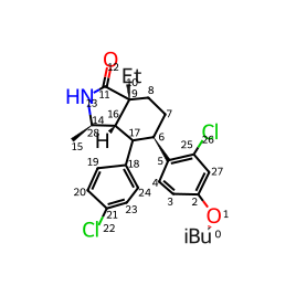 CC[C@@H](C)Oc1ccc([C@@H]2CC[C@@]3(CC)C(=O)N[C@H](C)[C@H]3C2c2ccc(Cl)cc2)c(Cl)c1